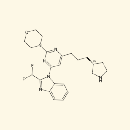 FC(F)c1nc2ccccc2n1-c1cc(CCC[C@H]2CCNC2)nc(N2CCOCC2)n1